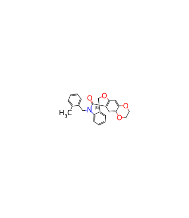 Cc1ccccc1CN1C(=O)[C@@]2(COc3cc4c(cc32)OCCO4)c2ccccc21